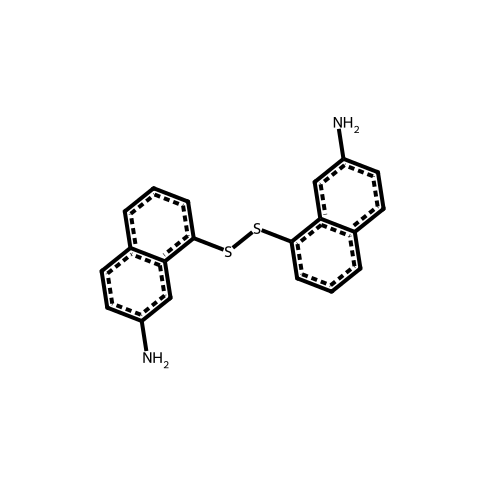 Nc1ccc2cccc(SSc3cccc4ccc(N)cc34)c2c1